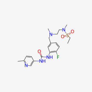 CCS(=O)(=O)N(C)CCN(C)Cc1ccc(F)c(NC(=O)Nc2ccc(C)nc2)c1